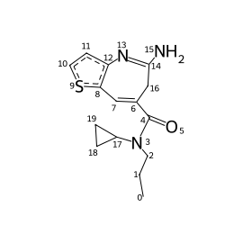 CCCN(C(=O)C1=Cc2sccc2N=C(N)C1)C1CC1